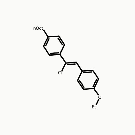 CCCCCCCCc1ccc(/C(Cl)=C/c2ccc(OCC)cc2)cc1